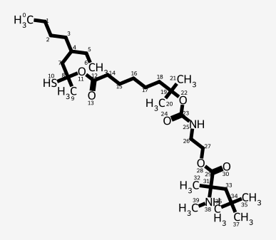 CCCCC(CC)CC(C)(S)OC(=O)CCCCCC(C)(C)OC(=O)NCCOC(=O)C(C)(CC(C)(C)C)NC